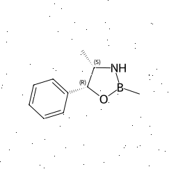 CB1N[C@@H](C)[C@@H](c2ccccc2)O1